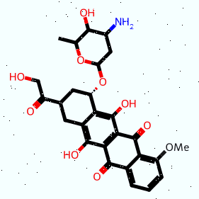 COc1cccc2c1C(=O)c1c(O)c3c(c(O)c1C2=O)CC(C(=O)CO)C[C@@H]3OC1CC(N)C(O)C(C)O1